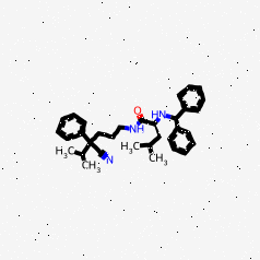 CC(C)C[C@H](NC(c1ccccc1)c1ccccc1)C(=O)NCCCC(C#N)(c1ccccc1)C(C)C